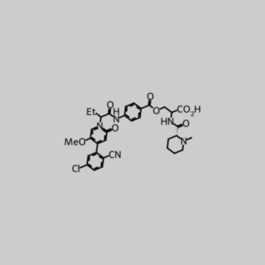 CCC(C(=O)Nc1ccc(C(=O)OCC(NC(=O)[C@H]2CCCCN2C)C(=O)O)cc1)n1cc(OC)c(-c2cc(Cl)ccc2C#N)cc1=O